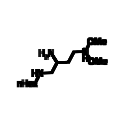 CCCCCCNCC(N)CC[SiH](OC)OC